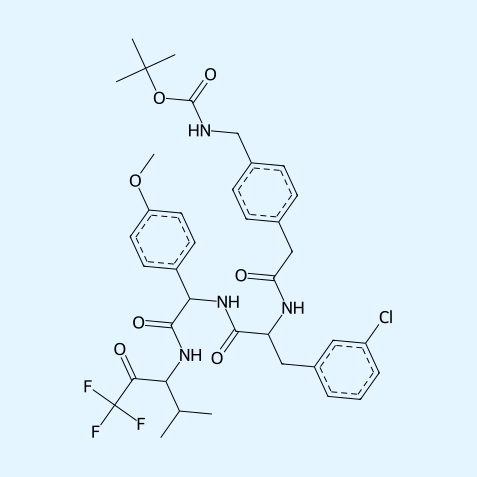 COc1ccc(C(NC(=O)C(Cc2cccc(Cl)c2)NC(=O)Cc2ccc(CNC(=O)OC(C)(C)C)cc2)C(=O)NC(C(=O)C(F)(F)F)C(C)C)cc1